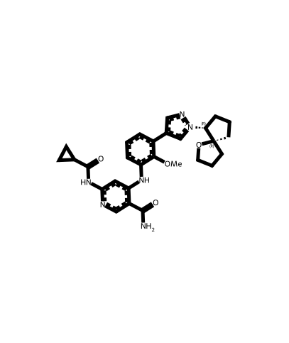 COc1c(Nc2cc(NC(=O)C3CC3)ncc2C(N)=O)cccc1-c1cnn([C@@H]2CCC[C@@]23CCCO3)c1